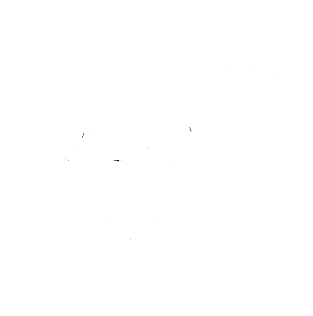 Cc1nc2cc(-c3ncc([C@@](C)(OCOCC[Si](C)(C)C)C(F)(F)F)s3)c(N[C@H]3CCN4C(=O)OC[C@@H]4C3)cc2c(=O)n1Cc1ccc(Cl)cc1